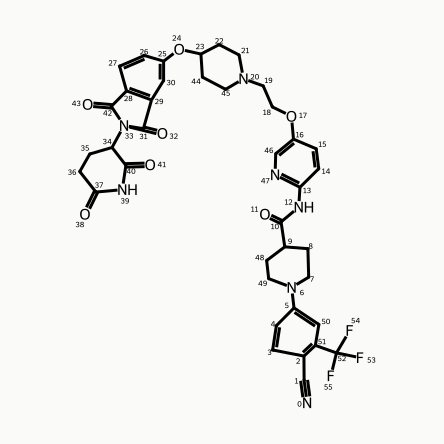 N#Cc1ccc(N2CCC(C(=O)Nc3ccc(OCCN4CCC(Oc5ccc6c(c5)C(=O)N(C5CCC(=O)NC5=O)C6=O)CC4)cn3)CC2)cc1C(F)(F)F